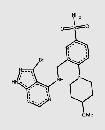 COC1CCN(c2ccc(S(N)(=O)=O)cc2CNc2ncnc3[nH]nc(Br)c23)CC1